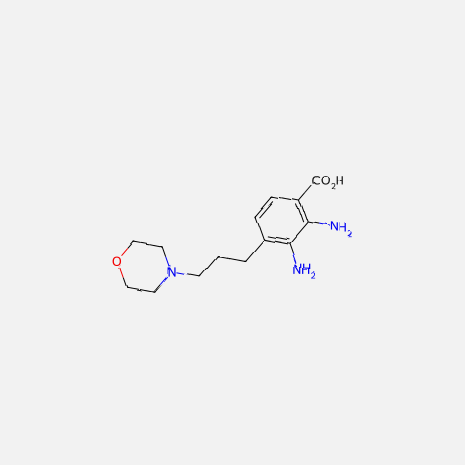 Nc1c(CCCN2CCOCC2)ccc(C(=O)O)c1N